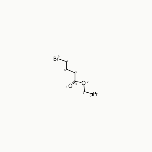 CC(C)COC(=O)CCCBr